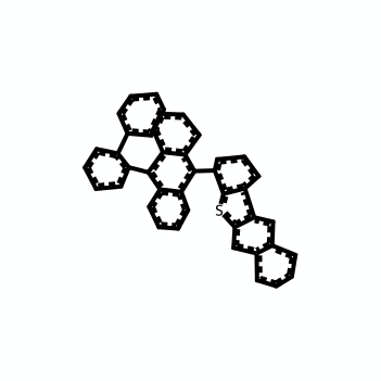 c1ccc(-c2ccccc2-c2c3ccccc3c(-c3cccc4c3sc3cc5ccccc5cc34)c3ccccc23)cc1